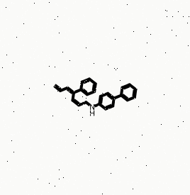 C=C/C=C(\C=C/CNc1ccc(-c2ccccc2)cc1)c1ccccc1